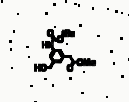 COC(=O)Cc1cc(CO)cc(NC(=O)OC(C)(C)C)c1